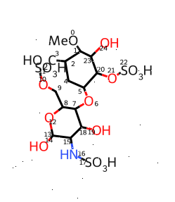 COC1C(C(=O)O)CC(OC2C(COS(=O)(=O)O)OC(O)C(NS(=O)(=O)O)C2O)C(OS(=O)(=O)O)C1O